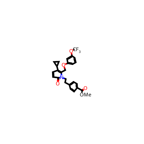 COC(=O)c1ccc(CCn2c(COc3cccc(OC(F)(F)F)c3)c(C3CC3)ccc2=O)cc1